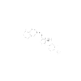 Brc1ccc(-c2csc(=Nc3ccc4ccccc4c3)[nH]2)cc1